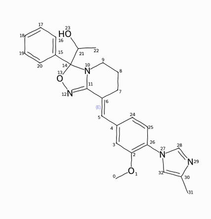 COc1cc(/C=C2\CCCN3C2=NOC3(c2ccccc2)C(C)O)ccc1-n1cnc(C)c1